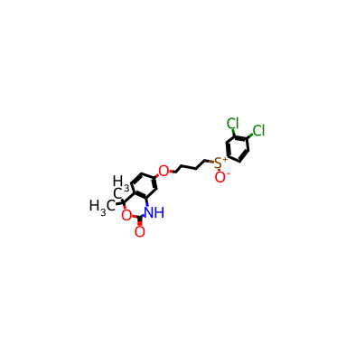 CC1(C)OC(=O)Nc2cc(OCCCC[S+]([O-])c3ccc(Cl)c(Cl)c3)ccc21